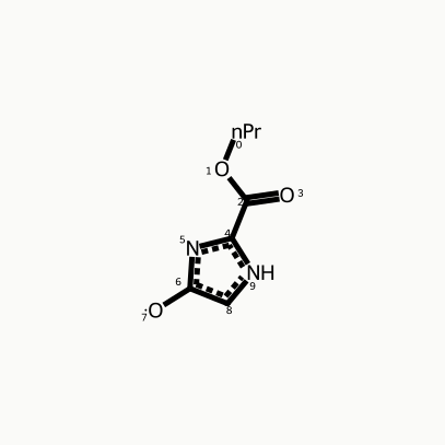 CCCOC(=O)c1nc([O])c[nH]1